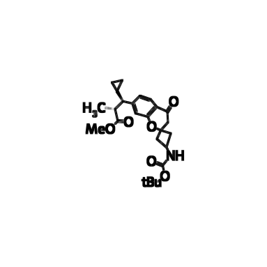 COC(=O)[C@H](C)[C@H](c1ccc2c(c1)OC1(CC2=O)CC(NC(=O)OC(C)(C)C)C1)C1CC1